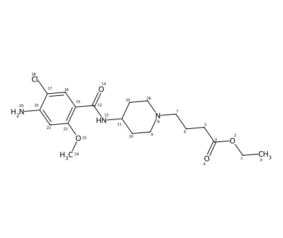 CCOC(=O)CCCN1CCC(NC(=O)c2cc(Cl)c(N)cc2OC)CC1